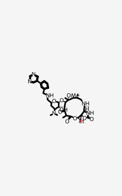 CC[C@H]1OC(=O)C(C)C(=O)[C@H](C)[C@@H](O[C@@H]2OC(CNCc3cccc(-c4cncnc4)c3)CC(N(C)C)C2O)[C@](C)(OC)C[C@@H](C)CN[C@H](C)[C@H]2NC(=O)O[C@@]21C